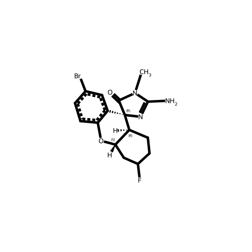 CN1C(=O)[C@]2(N=C1N)c1cc(Br)ccc1O[C@H]1CC(F)CC[C@@H]12